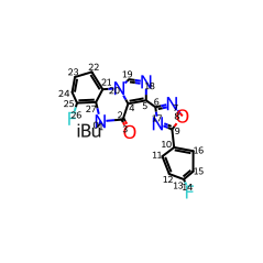 CCC(C)n1c(=O)c2c(-c3noc(-c4ccc(F)cc4)n3)ncn2c2cccc(F)c21